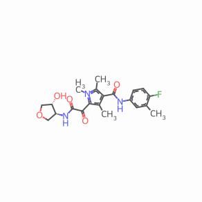 Cc1cc(NC(=O)c2c(C)c(C(=O)C(=O)N[C@H]3COC[C@@H]3O)n(C)c2C)ccc1F